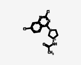 CC(=O)N[C@H]1CCN(c2nc(Cl)nc3cc(Cl)ccc23)C1